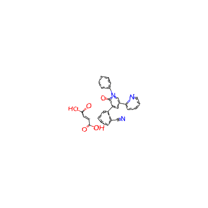 N#Cc1ccccc1-c1cc(-c2ccccn2)cn(-c2ccccc2)c1=O.O=C(O)C=CC(=O)O